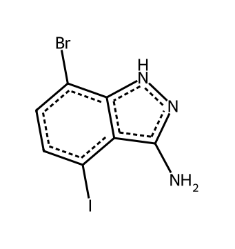 Nc1n[nH]c2c(Br)ccc(I)c12